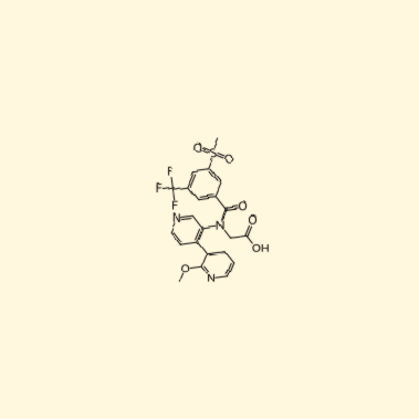 COc1ncccc1-c1ccncc1N(CC(=O)O)C(=O)c1cc(C(F)(F)F)cc(S(C)(=O)=O)c1